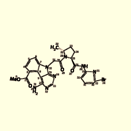 COC(=O)c1cccc2c1c1c(N)ncnc1n2CC(=O)N1[C@H](C)CC[C@H]1C(=O)Nc1cccc(Br)n1